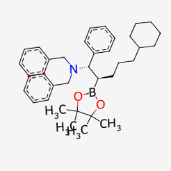 CC1(C)OB([C@H](CCCC2CCCCC2)[C@@H](c2ccccc2)N(Cc2ccccc2)Cc2ccccc2)OC1(C)C